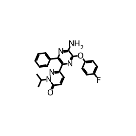 CC(C)n1nc(-c2nc(Oc3ccc(F)cc3)c(N)nc2-c2ccccc2)ccc1=O